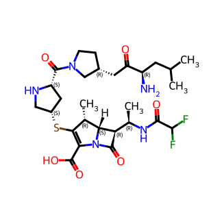 CC(C)C[C@@H](N)C(=O)C[C@H]1CCN(C(=O)[C@@H]2C[C@H](SC3=C(C(=O)O)N4C(=O)[C@H]([C@@H](C)NC(=O)C(F)F)[C@H]4[C@H]3C)CN2)C1